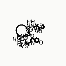 COc1ccc2c(O[C@@H]3C[C@H]4C(=O)N[C@]5(C(=O)O)CC5CCCCCCC[C@H](NC(=O)N[C@H](CN(C)S(=O)(=O)c5cccs5)C(C)(C)C)C(=O)N4C3)cc(-c3csc(NC(C)C)n3)nc2c1